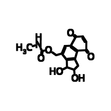 CNC(=O)OCc1cc2c(c3c1C(O)C(O)C3)C(=O)C=CC2=O